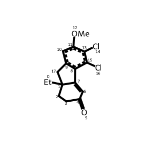 CCC12CCC(=O)C=C1c1c(cc(OC)c(Cl)c1Cl)C2